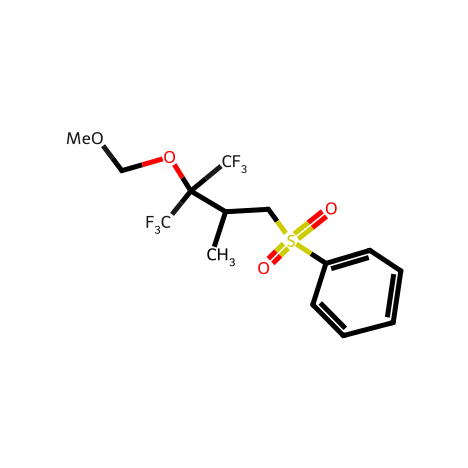 COCOC(C(C)CS(=O)(=O)c1ccccc1)(C(F)(F)F)C(F)(F)F